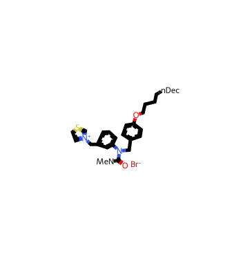 CCCCCCCCCCCCCCOc1ccc(CN(C(=O)NC)c2cccc(C[n+]3ccsc3)c2)cc1.[Br-]